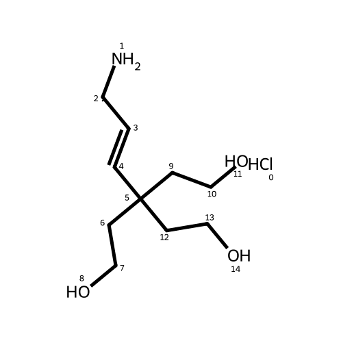 Cl.N[CH]/C=C/C(CCO)(CCO)CCO